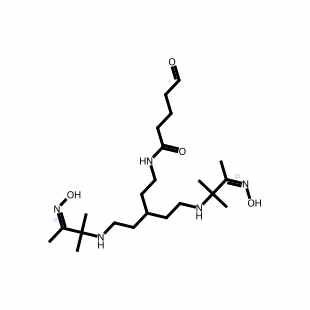 C/C(=N/O)C(C)(C)NCCC(CCNC(=O)CCCC=O)CCNC(C)(C)/C(C)=N\O